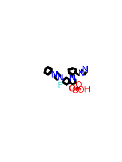 O=C(O)Oc1cn(-c2ccccc2Cn2ccnc2)c2cc(N3CCN(c4ccccc4)CC3)c(F)cc2c1=O